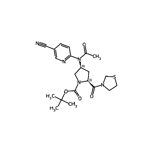 CC(=O)N(c1ccc(C#N)cn1)[C@H]1C[C@@H](C(=O)N2CCSC2)N(C(=O)OC(C)(C)C)C1